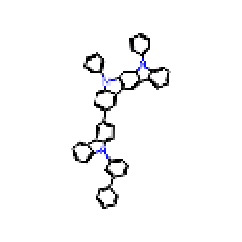 c1ccc(-c2cccc(-n3c4ccccc4c4cc(-c5ccc6c(c5)c5cc7c8ccccc8n(-c8ccccc8)c7cc5n6-c5ccccc5)ccc43)c2)cc1